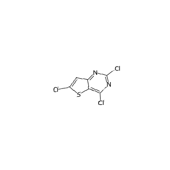 Clc1nc(Cl)c2sc(Cl)cc2n1